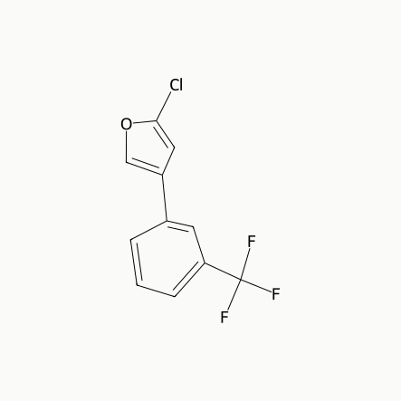 FC(F)(F)c1cccc(-c2coc(Cl)c2)c1